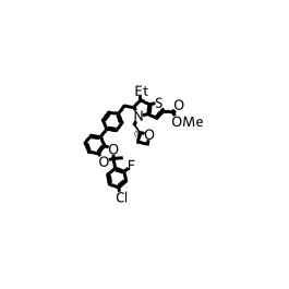 CCC1c2sc(C(=O)OC)cc2N(C[C@@H]2CCO2)C1Cc1ccc(-c2cccc3c2OC(C)(c2ccc(Cl)cc2F)O3)cc1